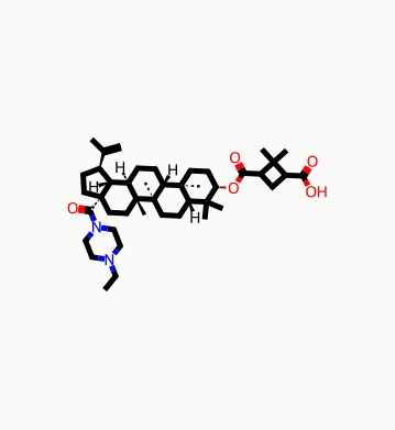 C=C(C)[C@@H]1CC[C@]2(C(=O)N3CCN(CC)CC3)CC[C@]3(C)[C@H](CC[C@@H]4[C@@]5(C)CC[C@H](OC(=O)C6CC(C(=O)O)C6(C)C)C(C)(C)[C@@H]5CC[C@]43C)[C@@H]12